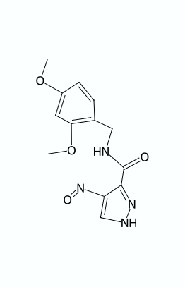 COc1ccc(CNC(=O)c2n[nH]cc2N=O)c(OC)c1